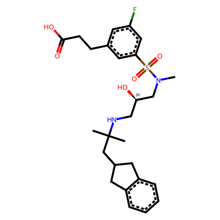 CN(C[C@H](O)CNC(C)(C)CC1Cc2ccccc2C1)S(=O)(=O)c1cc(F)cc(CCC(=O)O)c1